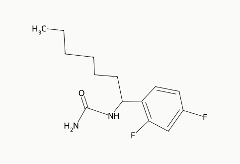 CCCCCCC(NC(N)=O)c1ccc(F)cc1F